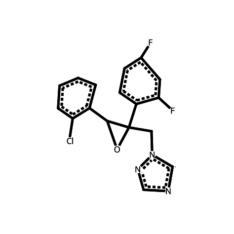 Fc1ccc(C2(Cn3[c]ncn3)OC2c2ccccc2Cl)c(F)c1